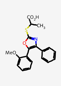 COc1ccccc1-c1oc(SC(C)C(=O)O)nc1-c1ccccc1